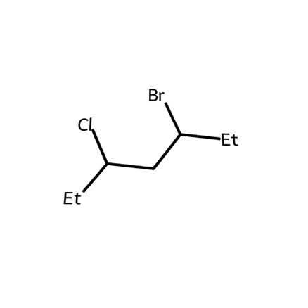 CCC(Cl)CC(Br)CC